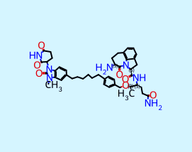 C[C@@H](OCc1ccc(CCCCCCc2ccc3c(c2)n(C)c(=O)n3C2CCC(=O)NC2=O)cc1)[C@H](CCC(N)=O)NC(=O)[C@@H]1Cc2cccc3c2N1C(=O)[C@@H](N)CC3